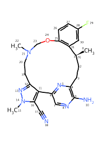 C[C@H]1CCc2nc(cnc2N)-c2c(nn(C)c2C#N)CCN(C)COc2ccc(F)cc21